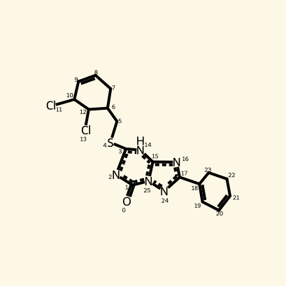 O=c1nc(SCC2CC=CC(Cl)C2Cl)[nH]c2nc(C3=CC=CCC3)nn12